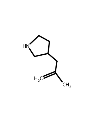 C=C(C)CC1CCNC1